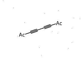 CC(=O)C#CC#CC(C)=O